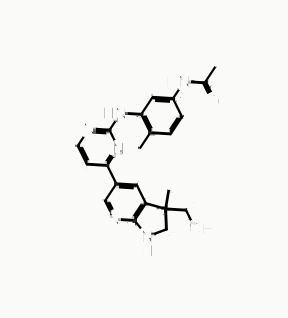 CC(=O)Nc1ccc(C)c(Nc2nccc(-c3cnc4c(c3)C(C)(CO)CN4)n2)c1